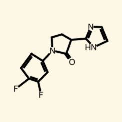 O=C1C(c2ncc[nH]2)CCN1c1ccc(F)c(F)c1